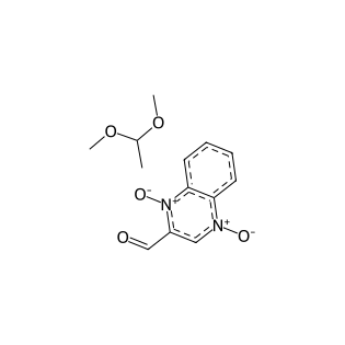 COC(C)OC.O=Cc1c[n+]([O-])c2ccccc2[n+]1[O-]